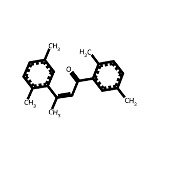 CC(=CC(=O)c1cc(C)ccc1C)c1cc(C)ccc1C